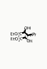 CCOC(=O)C(O)CC(C)C.CCOC(=O)CO